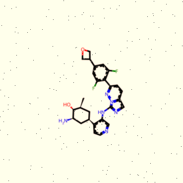 C[C@H]1C[C@@H](c2ccncc2Nc2ncc3ccc(-c4c(F)cc(C5COC5)cc4F)nn23)C[C@@H](N)[C@H]1O